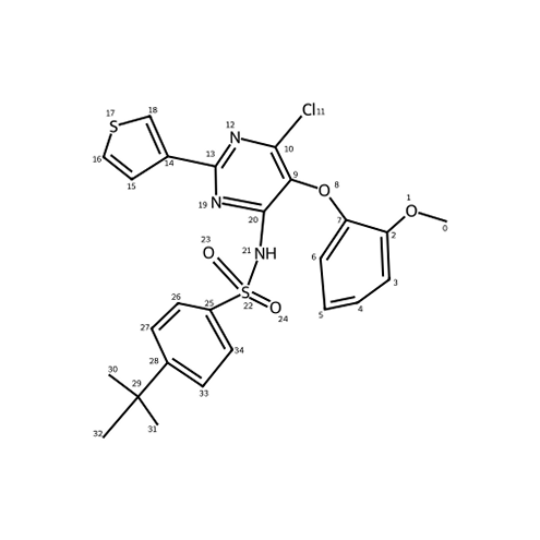 COc1ccccc1Oc1c(Cl)nc(-c2ccsc2)nc1NS(=O)(=O)c1ccc(C(C)(C)C)cc1